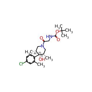 Cc1cc(Cl)ccc1[C@@]1(O)[C@H](C)CN(C(=O)CNC(=O)OC(C)(C)C)C[C@@H]1C